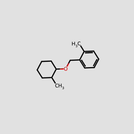 Cc1ccccc1COC1CCCCC1C